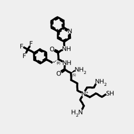 NCC[N+](CCN)(CCCS)CCC[C@H](N)C(=O)N[C@H](Cc1ccc(C(F)(F)F)cc1)C(=O)Nc1cnc2ccccc2c1